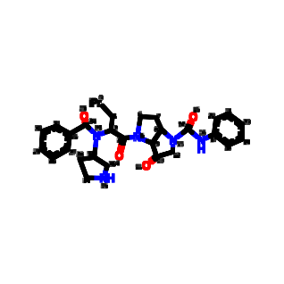 CC(C)CC(C(=O)N1CCC2C1C(=O)CN2C(=O)Nc1ccccc1)N(C(=O)c1ccccc1)C1CCNC1